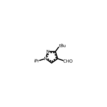 CC(C)n1cc(C=O)c(C(C)(C)C)n1